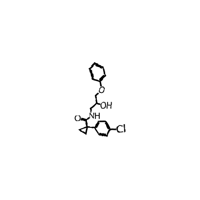 O=C(NCC(O)COc1ccccc1)C1(c2ccc(Cl)cc2)CC1